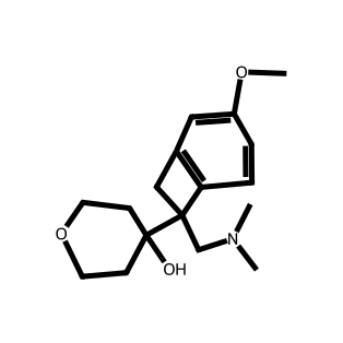 COc1ccc2c(c1)CC2(CN(C)C)C1(O)CCOCC1